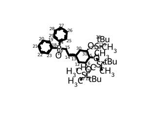 CC(C)(C)[Si](C)(C)OC1[C@H](O[Si](C)(C)C(C)(C)C)CC(=CCP(=O)(c2ccccc2)c2ccccc2)C[C@H]1O[Si](C)(C)C(C)(C)C